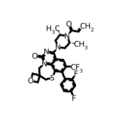 C=CC(=O)N1[C@H](C)CN(c2nc(=O)n3c4c(c(-c5ccc(F)cc5F)c(C(F)(F)F)cc24)SCC2(COC2)C3)C[C@@H]1C